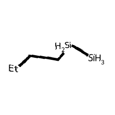 CCCC[SiH2][SiH3]